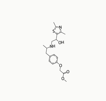 COC(=O)COc1ccc(CC(C)NCC(O)c2sc(C)nc2C)cc1